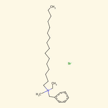 CCCCCCCCCCCCCCCC[N+](C)(CC)Cc1ccccc1.[Br-]